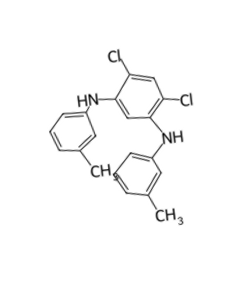 Cc1cccc(Nc2cc(Nc3cccc(C)c3)c(Cl)cc2Cl)c1